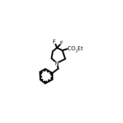 CCOC(=O)C1CN(Cc2ccccc2)CCC1(F)F